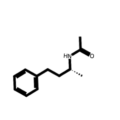 CC(=O)N[C@H](C)CCc1ccccc1